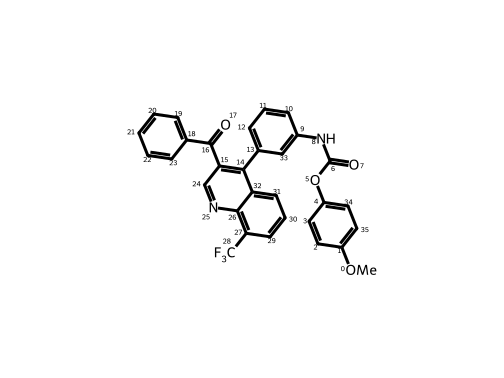 COc1ccc(OC(=O)Nc2cccc(-c3c(C(=O)c4ccccc4)cnc4c(C(F)(F)F)cccc34)c2)cc1